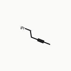 CC#CC[CH]C(C)C